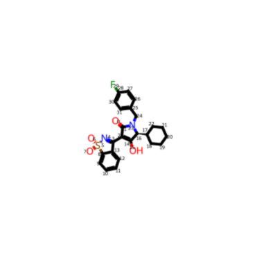 O=C1C(C2=NS(=O)(=O)c3ccccc32)=C(O)[C@H](C2CCCCC2)N1Cc1ccc(F)cc1